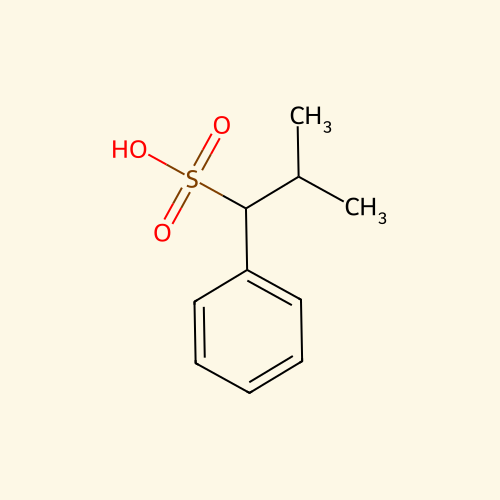 CC(C)C(c1ccccc1)S(=O)(=O)O